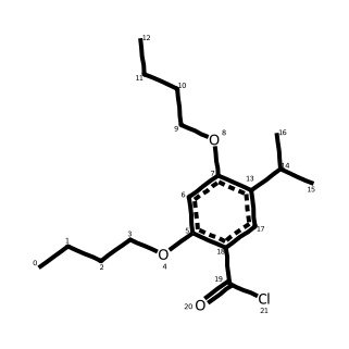 CCCCOc1cc(OCCCC)c(C(C)C)cc1C(=O)Cl